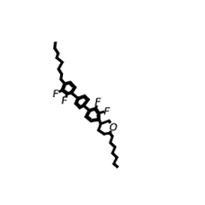 CCCCCCCCc1ccc(-c2ccc(-c3ccc(C4CCC(CCCCCCC)OC4)c(F)c3F)cc2)c(F)c1F